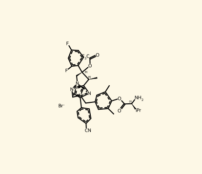 Cc1cc(C[n+]2cnn(C[C@](OC(=O)C(F)(F)F)(c3ccc(F)cc3F)[C@@H](C)c3nc(-c4ccc(C#N)cc4)cs3)c2)cc(C)c1OC(=O)[C@@H](N)C(C)C.[Br-]